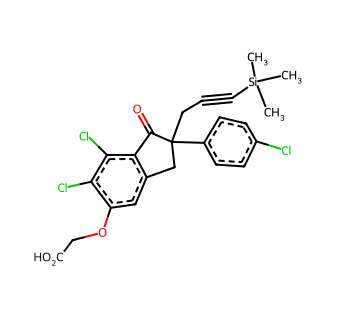 C[Si](C)(C)C#CCC1(c2ccc(Cl)cc2)Cc2cc(OCC(=O)O)c(Cl)c(Cl)c2C1=O